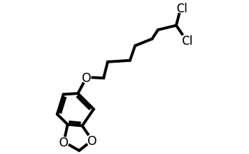 ClC(Cl)CCCCCCOc1ccc2c(c1)OCO2